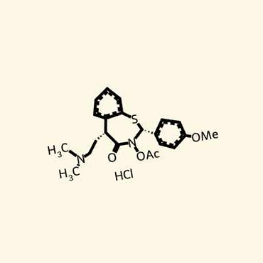 COc1ccc([C@H]2Sc3ccccc3[C@@H](CCN(C)C)C(=O)N2OC(C)=O)cc1.Cl